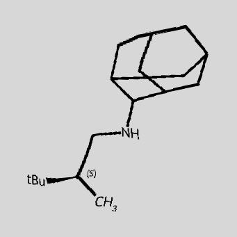 C[C@H](CNC1C2CC3CC(C2)CC1C3)C(C)(C)C